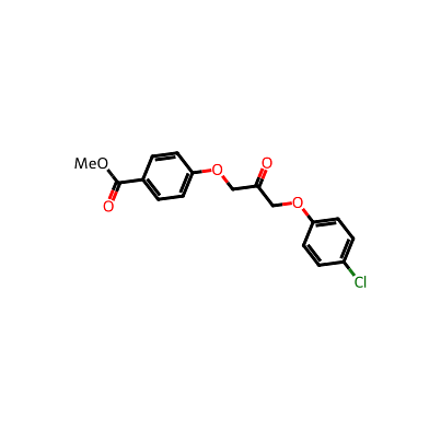 COC(=O)c1ccc(OCC(=O)COc2ccc(Cl)cc2)cc1